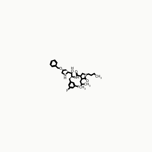 CCCCN1CC(C(=O)N[C@@H](Cc2cc(F)cc(F)c2)[C@H](O)[C@H]2C[C@@H](OCc3ccccc3)CN2)C(CC(C)C)C1=O